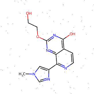 Cn1cnc(-c2nccc3c(O)nc(OCCO)nc23)c1